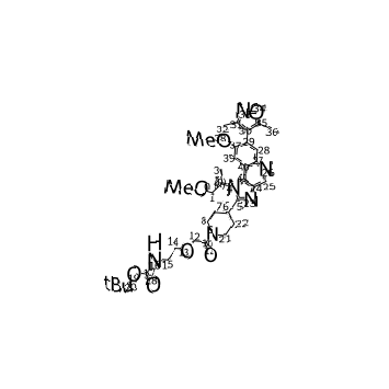 COC[C@@H](C)n1c(C2CCN(C(=O)COCCNC(=O)OC(C)(C)C)CC2)nc2cnc3cc(-c4c(C)noc4C)c(OC)cc3c21